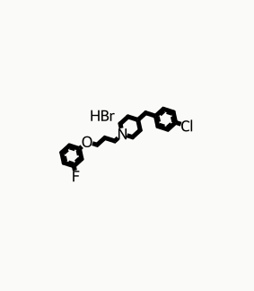 Br.Fc1cccc(OCCCN2CCC(Cc3ccc(Cl)cc3)CC2)c1